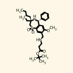 CCCC[C@]1(CC)CS(=O)(=O)c2cc(CNCCC(=O)OC(C)(C)C)c(OC)cc2[C@@H](c2ccccc2)N1